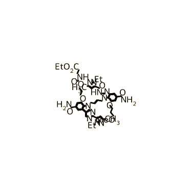 CCOC(=O)CCNC(=O)OCCCOc1cc(C(N)=O)cc2c3cnc(-c4cc(C)nn4CC)nc3n(C/C=C/Cn3c(NC(=O)c4cc(C)nn4CC)nc4cc(C(N)=O)cc(OCCCOC)c43)c12